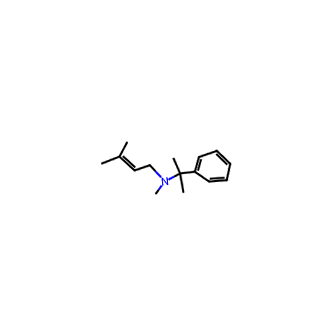 CC(C)=CCN(C)C(C)(C)c1ccccc1